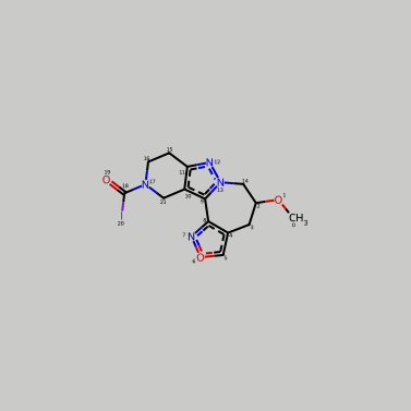 COC1Cc2conc2-c2c3c(nn2C1)CCN(C(=O)I)C3